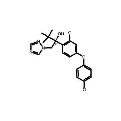 CC(C)(C)[C@@](O)(Cn1cncn1)c1ccc(Oc2ccc(Cl)cc2)cc1Cl